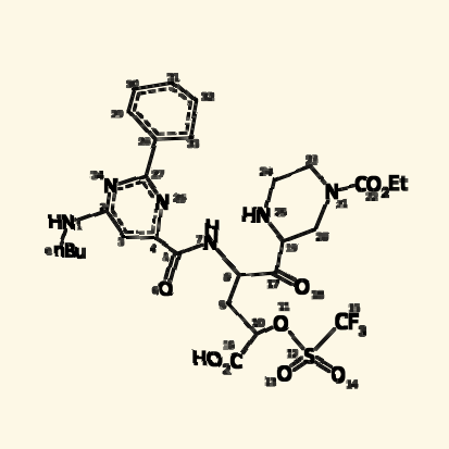 CCCCNc1cc(C(=O)NC(CC(OS(=O)(=O)C(F)(F)F)C(=O)O)C(=O)C2CN(C(=O)OCC)CCN2)nc(-c2ccccc2)n1